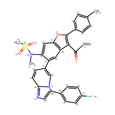 CNC(=O)c1c(-c2ccc(C)cc2)oc2cc(N(C)S(C)(=O)=O)c(-c3ccc4ncc(-c5ccc(F)cc5)n4c3)cc12